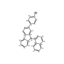 Brc1ccc(-c2ccc3c4ccccc4n(-c4cccc5ccccc45)c3c2)cc1